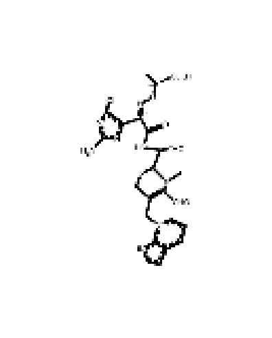 C[C@H](O/N=C(\C(=O)NC(C=O)C1SCC(C[n+]2cccc3cc[nH]c32)=C(C=O)N1C)c1nc(N)sc1Cl)C(=O)O